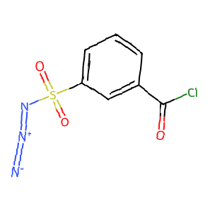 [N-]=[N+]=NS(=O)(=O)c1cccc(C(=O)Cl)c1